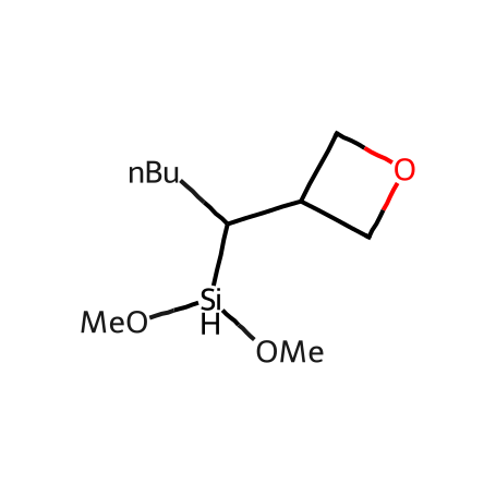 CCCCC(C1COC1)[SiH](OC)OC